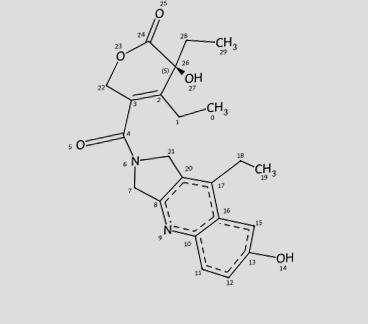 CCC1=C(C(=O)N2Cc3nc4ccc(O)cc4c(CC)c3C2)COC(=O)[C@]1(O)CC